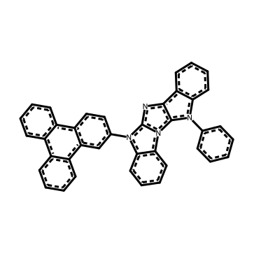 c1ccc(-n2c3ccccc3c3nc4n(-c5ccc6c7ccccc7c7ccccc7c6c5)c5ccccc5n4c32)cc1